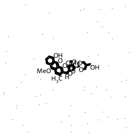 COc1c2c(c(O)c3c4c(c(C)cc13)[C@@H]1O[C@@]3(C5OCC(CO)CO5)O[C@@H]1[C@@](OC)(O4)[C@@]31CO1)C(=O)CCC2